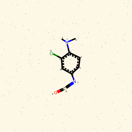 CN(C)c1ccc(N=C=O)cc1Cl